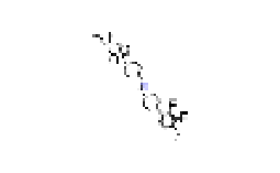 CCCC1(F)COC(C2CCC(/C=C/C3CCC(c4ccc(CC)c(F)c4F)CC3)CC2)OC1